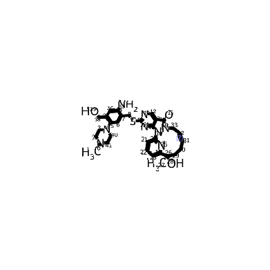 CN1CCN(c2cc(CSc3ncc4c(=O)n5n(c4n3)-c3cccc(n3)[C@](C)(O)CC/C=C\C5)c(N)cc2CO)CC1